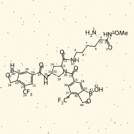 CONC(=O)[C@@H](N)CCCCNC(=O)C1C[C@H](NC(=O)c2cc3c(c(C(F)(F)F)c2)COB3)CN1C(=O)c1cc2c(c(C(F)(F)F)c1)COB2O